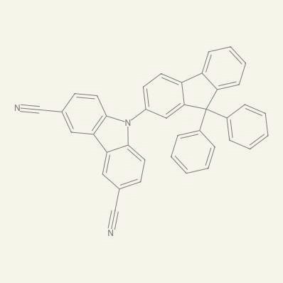 N#Cc1ccc2c(c1)c1cc(C#N)ccc1n2-c1ccc2c(c1)C(c1ccccc1)(c1ccccc1)c1ccccc1-2